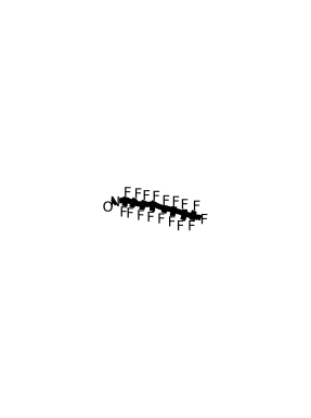 O=NC(F)(F)C(F)(F)C(F)(F)C(F)(F)C(F)(F)C(F)(F)C(F)(F)C(F)(F)F